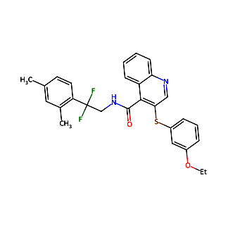 CCOc1cccc(Sc2cnc3ccccc3c2C(=O)NCC(F)(F)c2ccc(C)cc2C)c1